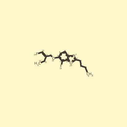 CCCCc1nc2ccc(OC/C(=C/F)CC)c(F)c2o1